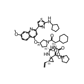 C=C[C@@H]1C[C@]1(NC(=O)[C@@H]1C[C@@H](Oc2cc(-c3csc(NC4CCCC4)n3)nc3cc(OC)ccc23)CN1C(=O)[C@@H](NC(=O)OC1CCCC1)C1CCCCC1)C(=O)O